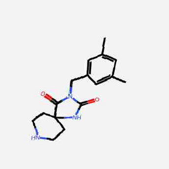 Cc1cc(C)cc(CN2C(=O)NC3(CCNCC3)C2=O)c1